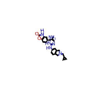 CC1=CN=C(Nc2ccc3c(c2)CN(CC2CC2)C3)NC1(N)c1ccc2oc(=O)[nH]c2c1